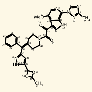 COc1cnc(-n2cnc(C)n2)c2[nH]cc(C(=O)C(=O)N3CCC(=C(c4ccccc4)c4cc(C5OC(C)O5)[nH]n4)CC3)c12